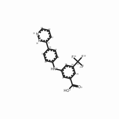 O=C(O)c1cc(Nc2ccc(-c3cccnn3)cc2)cc(C(F)(F)F)c1